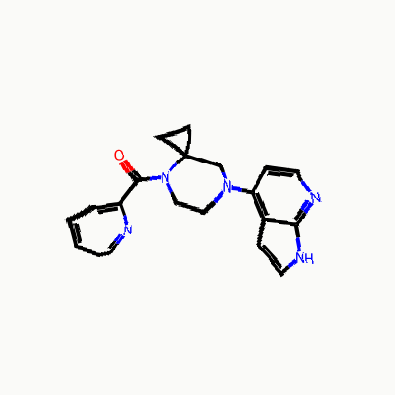 O=C(c1ccccn1)N1CCN(c2ccnc3[nH]ccc23)CC12CC2